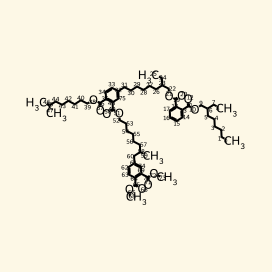 CCCCCCC(CC)COC(=O)c1ccccc1C(=O)OCC(CC)CCCCCCc1ccc(C(=O)OCCCCCCC(C)C)c(C(=O)OCCCCCCC(C)Cc2ccc(C(=O)OC)c(C(=O)OC)c2)c1